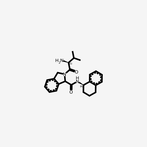 CC(C)[C@H](N)C(=O)N1Cc2ccccc2C1C(=O)N[C@@H]1CCCc2ccccc21